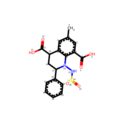 Cc1cc(C(=O)O)c2c(c1)C(C(=O)O)CC(c1ccccc1)N2N[SH](=O)=O